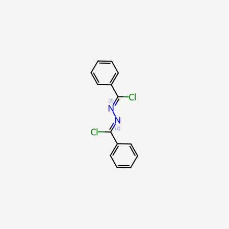 Cl/C(=N\N=C(/Cl)c1ccccc1)c1ccccc1